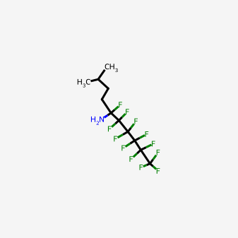 CC(C)CCC(N)(F)C(F)(F)C(F)(F)C(F)(F)C(F)(F)C(F)(F)F